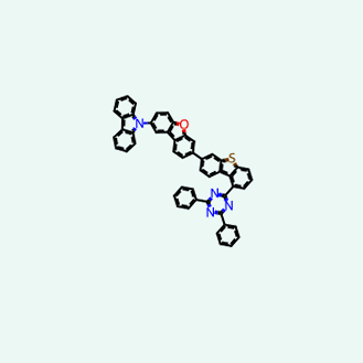 c1ccc(-c2nc(-c3ccccc3)nc(-c3cccc4sc5cc(-c6ccc7c(c6)oc6ccc(-n8c9ccccc9c9ccccc98)cc67)ccc5c34)n2)cc1